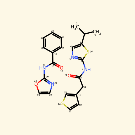 CC(C)c1cnc(NC(=O)Cc2ccsc2)s1.O=C(Nc1ncco1)c1ccccc1